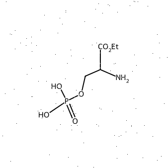 CCOC(=O)C(N)COP(=O)(O)O